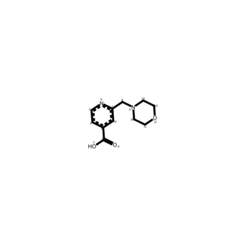 O=C(O)c1ccnc(CN2CCOCC2)c1